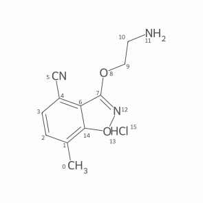 Cc1ccc(C#N)c2c(OCCN)noc12.Cl